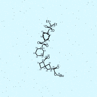 CCN(CC)S(=O)(=O)c1ccc(S(=O)(=O)N2CCC[C@@H](C(=O)N3CCC34CN(C(=O)OC(C)(C)C)C4)C2)cc1